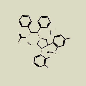 CC(C)(C)C[C@H]1N([C@H](c2ccccc2)[C@@H](OC(=O)C(C)(C)C)c2ccccc2)[C@@H](CBr)[C@H](c2cccc(Cl)c2F)[C@@]12C(=O)Nc1cc(Cl)ccc12